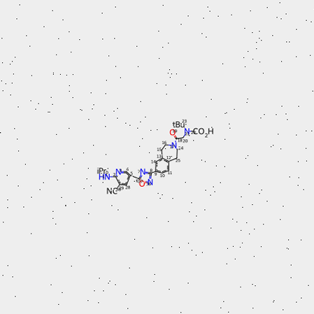 CC(C)Nc1ncc(-c2nc(-c3ccc4c(c3)CCN(C(=O)CN(C(=O)O)C(C)(C)C)CC4)no2)cc1C#N